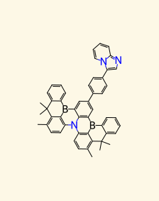 Cc1ccc2c3c1C(C)(C)c1ccccc1B3c1cc(-c3ccc(-c4cnc5ccccn45)cc3)cc3c1N2c1ccc(C)c2c1B3c1ccccc1C2(C)C